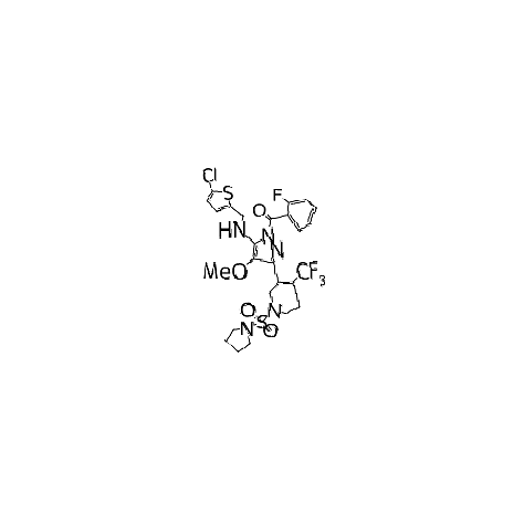 COc1c(C2CN(S(=O)(=O)N3CCCC3)CCC2C(F)(F)F)nn(C(=O)c2ccccc2F)c1NCc1ccc(Cl)s1